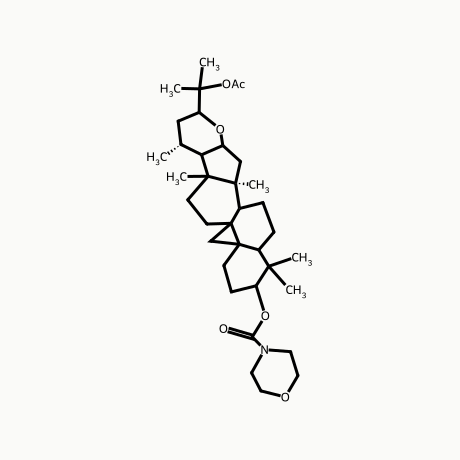 CC(=O)OC(C)(C)C1C[C@@H](C)C2C(C[C@@]3(C)C4CCC5C(C)(C)C(OC(=O)N6CCOCC6)CCC56CC46CCC23C)O1